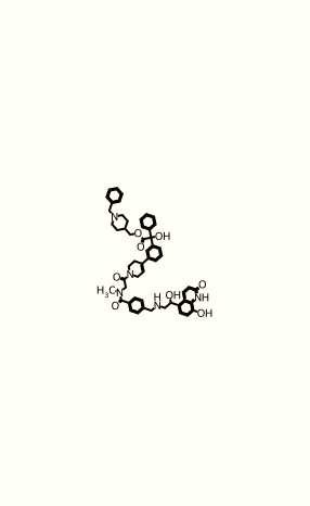 CN(CC(=O)N1CC=C(c2cccc(C(O)(C(=O)OCC3CCN(Cc4ccccc4)CC3)c3ccccc3)c2)CC1)C(=O)c1ccc(CNCC(O)c2ccc(O)c3[nH]c(=O)ccc23)cc1